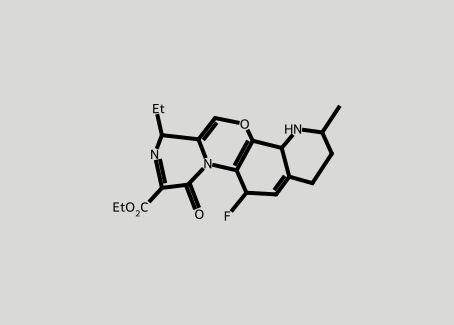 CCOC(=O)C1=NC(CC)C2=COC3=C(C(F)C=C4CCC(C)NC43)N2C1=O